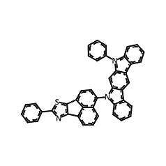 c1ccc(-c2nc3c(s2)-c2ccc(-n4c5ccccc5c5cc6c7ccccc7n(-c7ccccc7)c6cc54)c4cccc-3c24)cc1